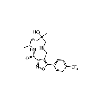 CC(C)C(C)NC(=O)c1noc(-c2ccc(C(F)(F)F)cc2)c1CNCC(C)(C)O